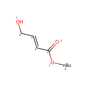 CCCCOC(=O)/C=C/CO